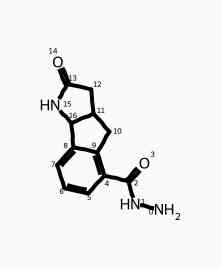 NNC(=O)c1cccc2c1CC1CC(=O)NC21